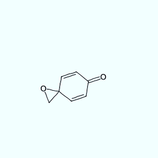 O=C1C=CC2(C=C1)CO2